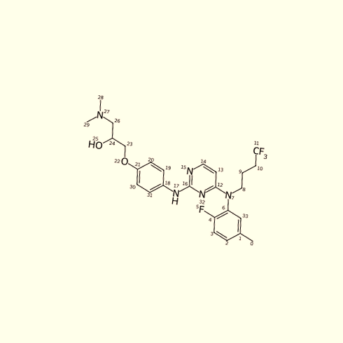 Cc1ccc(F)c(N(CCCC(F)(F)F)c2ccnc(Nc3ccc(OCC(O)CN(C)C)cc3)n2)c1